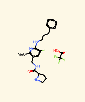 COc1nc(NCCCc2ccccc2)c(F)cc1CNC(=O)C1CCCN1.O=C(O)C(F)(F)F